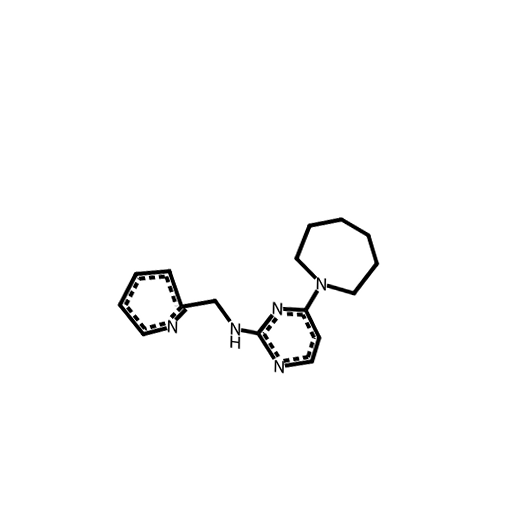 c1ccc(CNc2nccc(N3CCCCCC3)n2)nc1